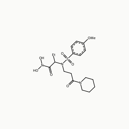 CCC(C(=O)N(O)O)N(CCC(=O)N1CCCCC1)S(=O)(=O)c1ccc(OC)cc1